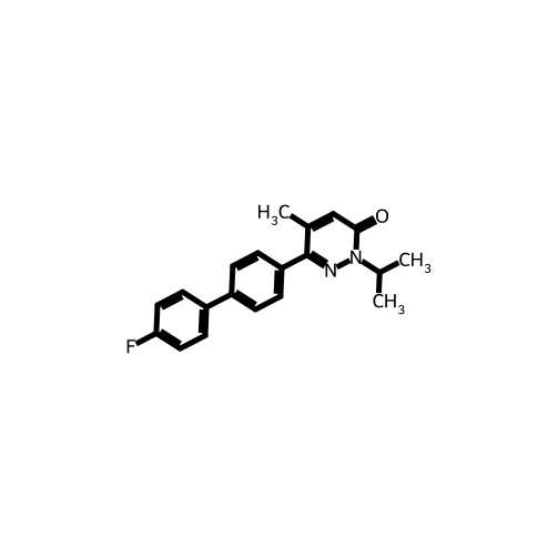 Cc1cc(=O)n(C(C)C)nc1-c1ccc(-c2ccc(F)cc2)cc1